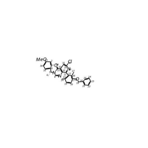 COc1ccc([C@@H](C)n2cnc3c(-c4c(C)ccc(OCc5ccccc5)c4C)nc(Cl)cc3c2=O)cc1